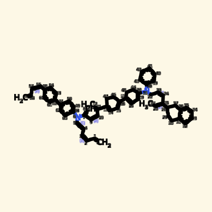 C=C/C=C\C=C\N(C(=C)/C=C\C(=C)C1=CC=C(C2=CC=C(N(C/C=C\C(=C/C)C3CCc4ccccc4C3)c3ccccc3)CC2)CC1)c1ccc(-c2ccc(/C=C\C=C)cc2)cc1